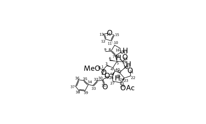 COC(=O)C[C@H]1[C@]2(C)C3=C(C)[C@H](c4ccoc4)C[C@H]3O[C@@H]2[C@@H]2OC[C@]3(C)[C@H](OC(C)=O)C[C@H](OC(=O)/C=C/c4ccccc4)[C@@]1(C)[C@@H]23